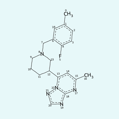 Cc1ccc(F)c(CN2CCCC(c3cc(C)nc4ncnn34)C2)c1